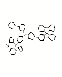 CC1(C)c2ccccc2C2(c3ccccc3-c3cc(N(c4ccc(-c5ccc6c(c5)C5(c7ccccc7-c7ccccc75)c5ccccc5-6)cc4)c4cccc(-c5ccccc5)c4)ccc32)c2ccccc21